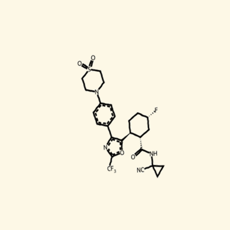 N#CC1(NC(=O)[C@H]2C[C@@H](F)CC[C@@H]2c2oc(C(F)(F)F)nc2-c2ccc(N3CCS(=O)(=O)CC3)cc2)CC1